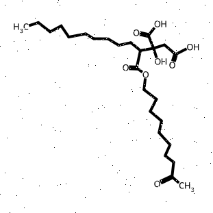 CCCCCCCCCCC(C(=O)OCCCCCCCCC(C)=O)C(O)(CC(=O)O)C(=O)O